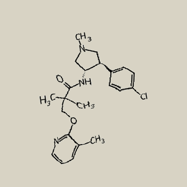 Cc1cccnc1OCC(C)(C)C(=O)N[C@@H]1CN(C)C[C@H]1c1ccc(Cl)cc1